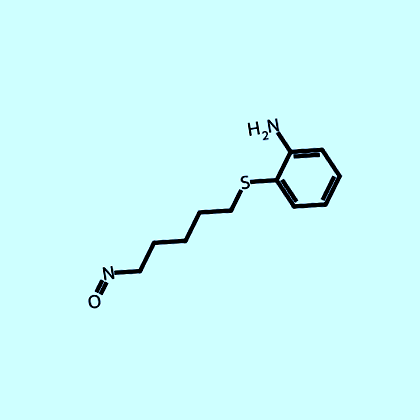 Nc1ccccc1SCCCCCN=O